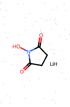 O=C1CCC(=O)N1O.[LiH]